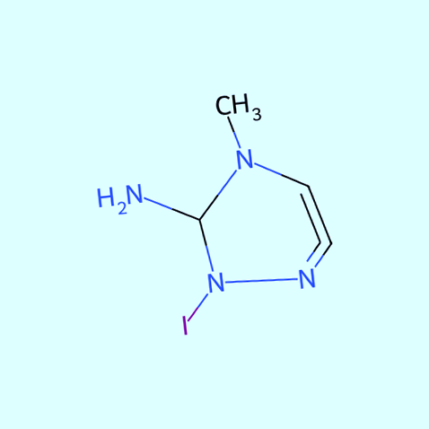 CN1C=C=NN(I)C1N